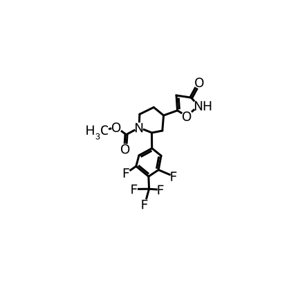 COC(=O)N1CCC(c2cc(=O)[nH]o2)CC1c1cc(F)c(C(F)(F)F)c(F)c1